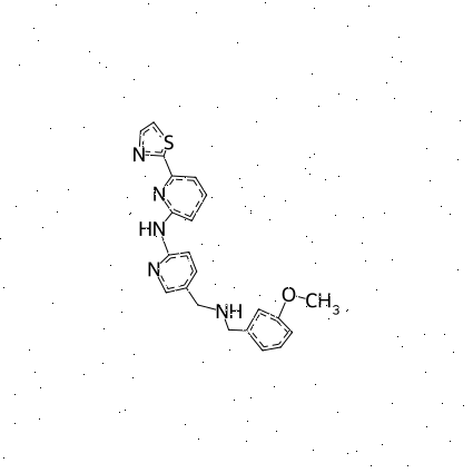 COc1cccc(CNCc2ccc(Nc3cccc(-c4nccs4)n3)nc2)c1